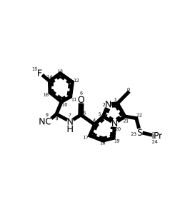 Cc1nc2c(C(=O)NC(C#N)c3cccc(F)c3)cccn2c1CSC(C)C